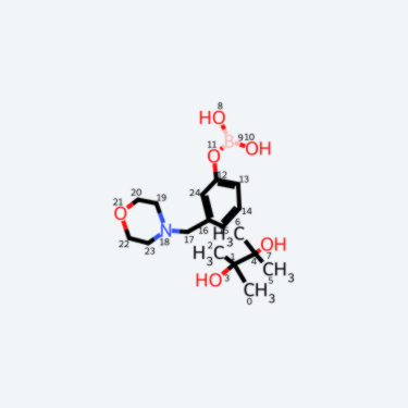 CC(C)(O)C(C)(C)O.OB(O)Oc1cccc(CN2CCOCC2)c1